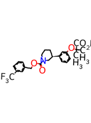 CC(C)(Oc1cccc([C@@H]2CCCN(C(=O)OCc3cccc(C(F)(F)F)c3)C2)c1)C(=O)O